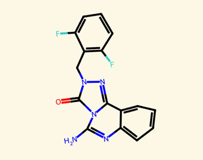 Nc1nc2ccccc2c2nn(Cc3c(F)cccc3F)c(=O)n12